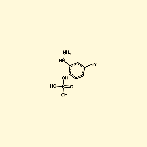 CC(C)c1cccc(NN)c1.O=P(O)(O)O